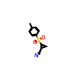 Cc1ccc(S(=O)(=O)C2CC2C#N)cc1